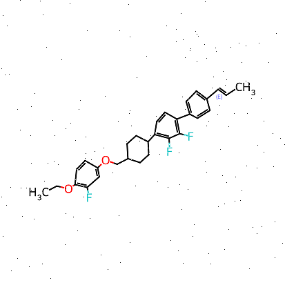 C/C=C/c1ccc(-c2ccc(C3CCC(COc4ccc(OCC)c(F)c4)CC3)c(F)c2F)cc1